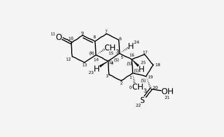 C[C@]12CC[C@H]3[C@@H](CCC4=CC(=O)CC[C@@]43C)[C@@H]1CC[C@@H]2C(O)=S